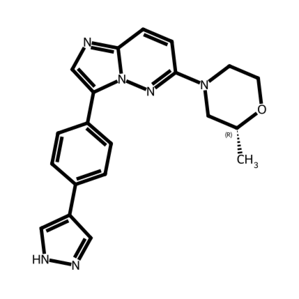 C[C@@H]1CN(c2ccc3ncc(-c4ccc(-c5cn[nH]c5)cc4)n3n2)CCO1